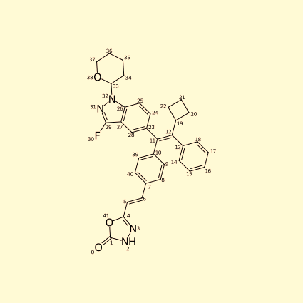 O=c1[nH]nc(/C=C/c2ccc(/C(=C(\c3ccccc3)C3CCC3)c3ccc4c(c3)c(F)nn4C3CCCCO3)cc2)o1